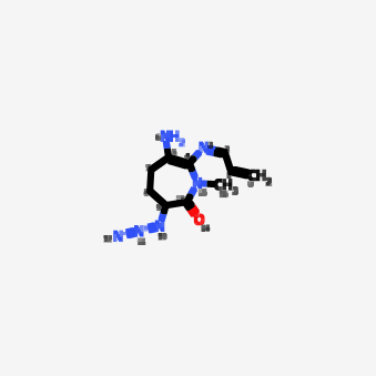 C=C/C=N\C1=C(N)CCC(N=[N+]=[N-])C(=O)N1C